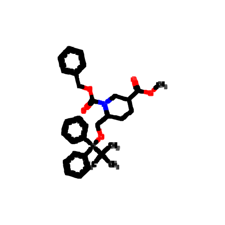 COC(=O)C1CCC(CO[Si](c2ccccc2)(c2ccccc2)C(C)(C)C)N(C(=O)OCc2ccccc2)C1